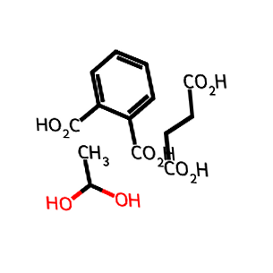 CC(O)O.O=C(O)CCC(=O)O.O=C(O)c1ccccc1C(=O)O